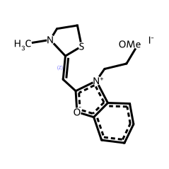 COCC[n+]1c(/C=C2\SCCN2C)oc2ccccc21.[I-]